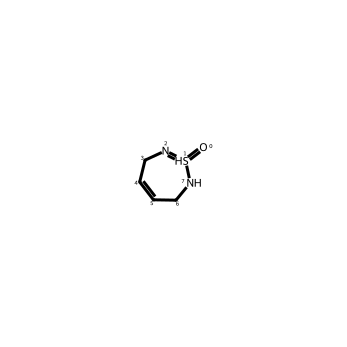 O=[SH]1=NCC=CCN1